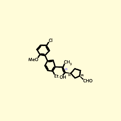 CCc1ccc(-c2cc(Cl)ccc2OC)cc1/C(C)=C(\O)[C@H]1CC[C@@H](C=O)C1